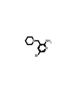 Nc1ncc(Br)cc1CN1CCCCC1